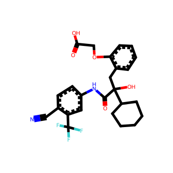 N#Cc1ccc(NC(=O)C(O)(Cc2ccccc2OCC(=O)O)C2CCCCC2)cc1C(F)(F)F